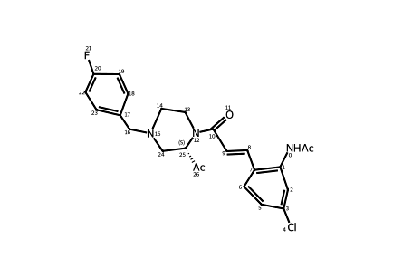 CC(=O)Nc1cc(Cl)ccc1C=CC(=O)N1CCN(Cc2ccc(F)cc2)C[C@H]1C(C)=O